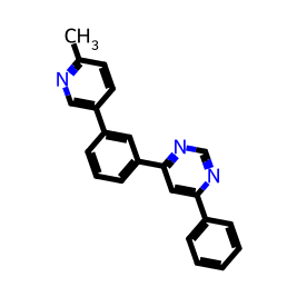 Cc1ccc(-c2cccc(-c3cc(-c4ccccc4)ncn3)c2)cn1